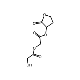 O=C(CO)OCC(=O)OC1CCOC1=O